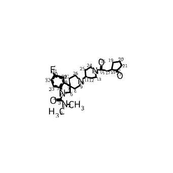 CN(C)C(=O)N1CC2(CCN(C3CCN(C(=O)CC4CCCC4=O)CC3)CC2)c2cc(F)ccc21